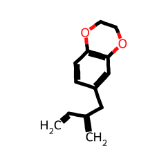 C=CC(=C)Cc1ccc2c(c1)OCCO2